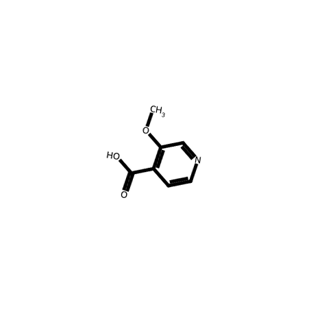 COc1cnccc1C(=O)O